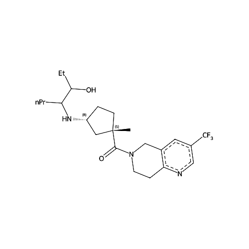 CCCC(N[C@@H]1CC[C@](C)(C(=O)N2CCc3ncc(C(F)(F)F)cc3C2)C1)C(O)CC